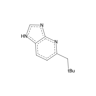 CC(C)(C)Cc1ccc2[nH]cnc2n1